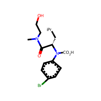 CC(C)C[C@@H](C(=O)N(C)CCO)N(C(=O)O)c1ccc(Br)cc1